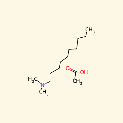 CC(=O)O.CCCCCCCCCCN(C)C